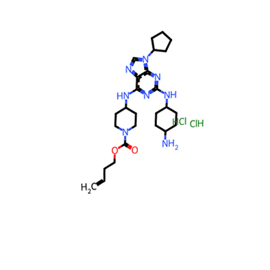 C=CCCOC(=O)N1CCC(Nc2nc(NC3CCC(N)CC3)nc3c2ncn3C2CCCC2)CC1.Cl.Cl